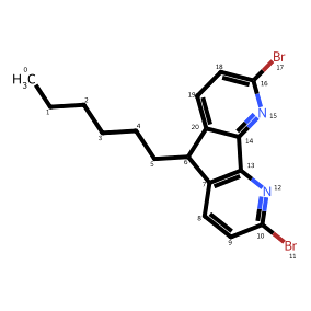 CCCCCCC1c2ccc(Br)nc2-c2nc(Br)ccc21